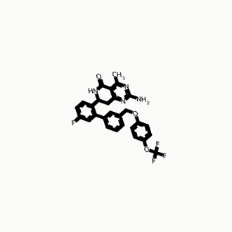 Cc1nc(N)nc2c1C(=O)NC(c1ccc(F)cc1-c1cccc(COc3ccc(OC(F)(F)F)cc3)c1)C2